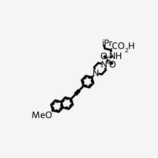 COc1ccc2cc(C#Cc3ccc(N4CCN(S(=O)(=O)N[C@@H](CC(C)C)C(=O)O)CC4)cc3)ccc2c1